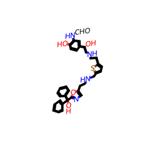 O=CNc1cc([C@@H](O)CNCCc2ccc(CNCCc3cnc(C(O)(c4ccccc4)c4ccccc4)o3)s2)ccc1O